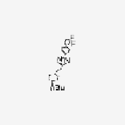 CCCCC1CCC(CCc2cnc(-c3ccc(OC(F)F)cc3)nc2)CC1